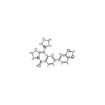 O=C(c1ccc(-c2ccc3c(c2)OCO3)cc1)N1CCC[C@H]1CN1CCCC1